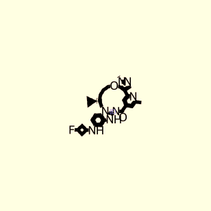 Cc1cc2cc(n1)-c1cnn(C)c1OCCC[C@@H](C1CC1)CN1/C(=N/C2=O)Nc2cc(NC3CC(F)C3)ccc21